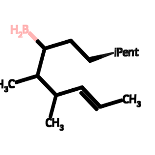 BC(CC[C@H](C)CCC)C(C)C(C)C=CC